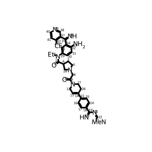 CCN(C(=O)C1CCN(CC(=O)N2CC=C(c3ccc(C(=N)/N=C\NC)cc3)CC2)C1)c1ccc(N)c(C(=N)c2cnccc2C(F)(F)F)c1